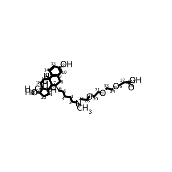 CN(CCCCC[C@@H]1Cc2cc(O)ccc2[C@H]2CC[C@]3(C)[C@@H](O)CC[C@H]3[C@@H]12)CCOCCOCCOCCC(=O)O